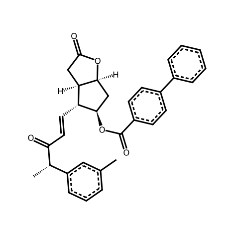 Cc1cccc([C@H](C)C(=O)/C=C/[C@@H]2[C@H]3CC(=O)O[C@H]3C[C@H]2OC(=O)c2ccc(-c3ccccc3)cc2)c1